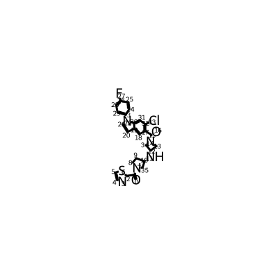 O=C(c1nccs1)N1CC[C@H](NC2CN(C(=O)c3cc4ccn(-c5ccc(F)cc5)c4cc3Cl)C2)C1